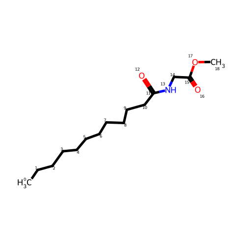 CCCCCCCCCCCC(=O)NCC(=O)OC